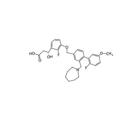 COc1ccc(F)c(-c2ccc(COc3cccc([C@H](O)CC(=O)O)c3F)cc2CN2CCCCCC2)c1